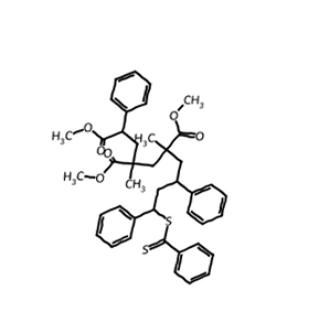 COC(=O)C(CC(C)(CC(C)(CC(CC(SC(=S)c1ccccc1)c1ccccc1)c1ccccc1)C(=O)OC)C(=O)OC)c1ccccc1